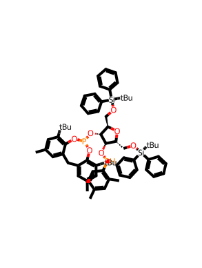 Cc1ccc(PO[C@H]2[C@H](OP3Oc4c(cc(C)cc4C(C)(C)C)Cc4cc(C)cc(C(C)(C)C)c4O3)[C@@H](CO[Si](c3ccccc3)(c3ccccc3)C(C)(C)C)O[C@@H]2CO[Si](c2ccccc2)(c2ccccc2)C(C)(C)C)c(C)c1